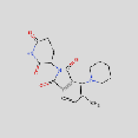 Cc1ccc2c(c1N1CCCCC1)C(=O)N(C1CCC(=O)NC1=O)C2=O